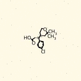 CC1(C)C[C@@H]([C@@H](CC(=O)O)c2ccc(Cl)cc2)CCO1